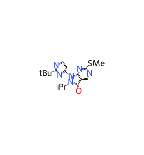 CSc1ncc2c(=O)n(C(C)C)n(-c3ccnc(C(C)(C)C)n3)c2n1